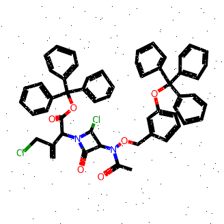 C=C(CCl)C(C(=O)OC(c1ccccc1)(c1ccccc1)c1ccccc1)N1C(=O)C(N(OCc2cccc(OC(c3ccccc3)(c3ccccc3)c3ccccc3)c2)C(C)=O)C1Cl